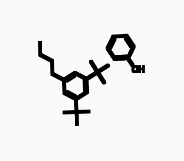 CCCCc1cc(C(C)(C)C)cc(C(C)(C)C)c1.Oc1ccccc1